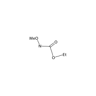 CCOC(=O)[N]OC